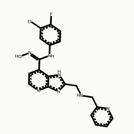 O/N=C(/Nc1ccc(F)c(Cl)c1)c1ccnc2nc(CNCc3ccccn3)[nH]c12